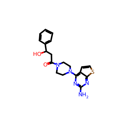 Nc1nc(N2CCN(C(=O)CC(O)c3ccccc3)CC2)c2ccsc2n1